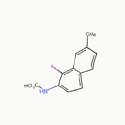 COc1ccc2ccc(NC(=O)O)c(I)c2c1